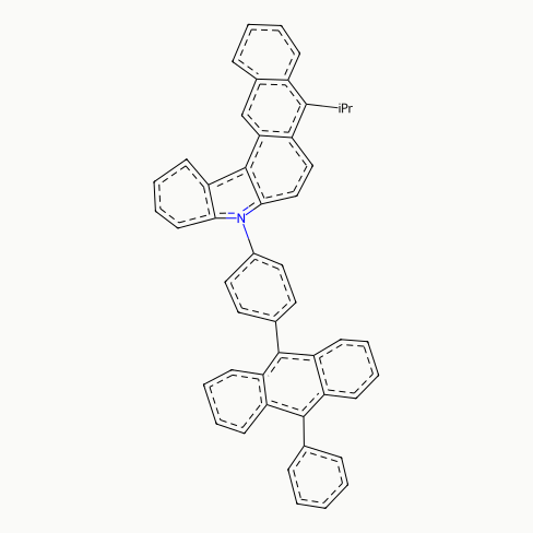 CC(C)c1c2ccccc2cc2c1ccc1c2c2ccccc2n1-c1ccc(-c2c3ccccc3c(-c3ccccc3)c3ccccc23)cc1